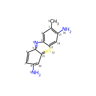 Cc1cc2nc3ccc(N)cc3[s+]c2cc1N